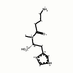 CN(C(=O)CCCN)[C@H](Cc1c[nH]cn1)C(=O)O